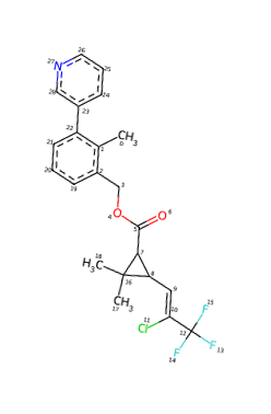 Cc1c(COC(=O)C2C(C=C(Cl)C(F)(F)F)C2(C)C)cccc1-c1cccnc1